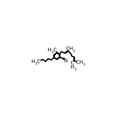 CCCCCc1cc(C)c(C/C=C(\C)CCC=C(C)C)c(C#N)c1